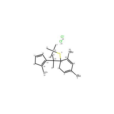 CC(C)(C)C1=CCC(S[Si](C)(C)C)(C(C)(C)C2=[C]([Ti+2])CC=C2)C(C(C)(C)C)=C1.[Cl-].[Cl-]